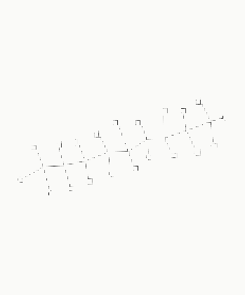 [O]C(Cl)(Cl)C(Cl)(Cl)C(Cl)(Cl)C(Cl)(Cl)C(Cl)(Cl)C(Cl)(Cl)C(Cl)(Cl)C(Cl)(Cl)C(Cl)(Cl)Cl